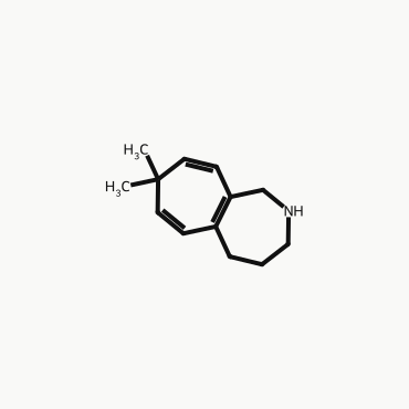 CC1(C)C=CC2=C(C=C1)CNCCC2